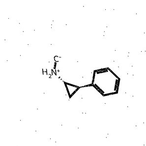 [CH2-][NH2+][C@H]1C[C@@H]1c1ccccc1